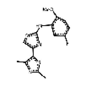 COc1ccc(F)cc1Nc1nc(-c2sc(C)nc2C)cs1